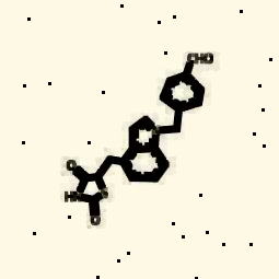 O=Cc1ccc(Cn2ccc3c(CC4SC(=O)NC4=O)cccc32)cc1